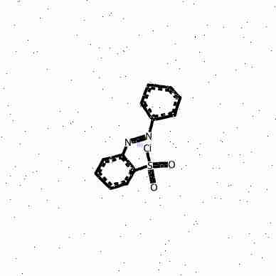 O=S(=O)(Cl)c1ccccc1/N=N/c1ccccc1